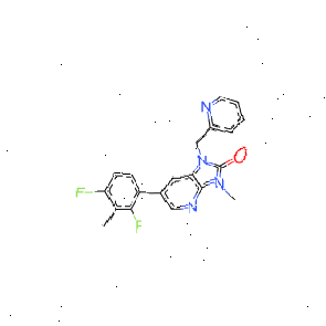 Cc1c(F)ccc(-c2cnc3c(c2)n(Cc2ccccn2)c(=O)n3C)c1F